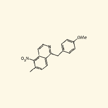 COc1ccc(Cc2nccc3c([N+](=O)[O-])c(C)ccc23)cc1